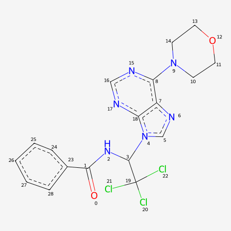 O=C(NC(n1cnc2c(N3CCOCC3)ncnc21)C(Cl)(Cl)Cl)c1ccccc1